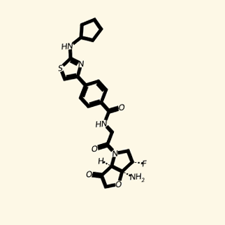 N[C@]12OCC(=O)[C@H]1N(C(=O)CNC(=O)c1ccc(-c3csc(NC4CCCC4)n3)cc1)C[C@@H]2F